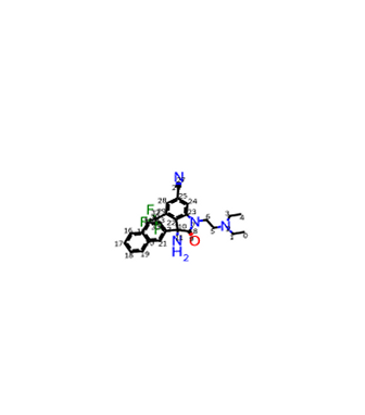 CCN(CC)CCN1C(=O)C(N)(c2ccc3ccccc3c2)c2c1cc(C#N)cc2C(F)(F)F